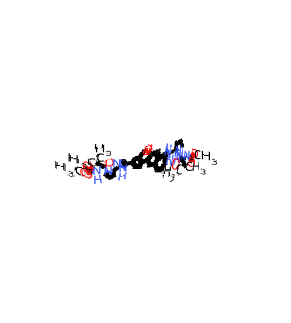 COC(=O)NC(C(=O)N1CCCC1c1ncc(-c2ccc3c(c2)COC2=C3CC3CCc4[nH]c([C@@H]5CCCN5C(=O)[C@@H](NC(=O)OC)C(C)C)nc4C3=C2)[nH]1)C(C)C